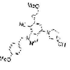 COCOc1cc(N2CC[C@@H](O)C2)c2cnn(Cc3ccc(OC)cc3)c2c1C#N